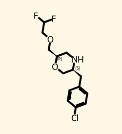 FC(F)COC[C@H]1CN[C@@H](Cc2ccc(Cl)cc2)CO1